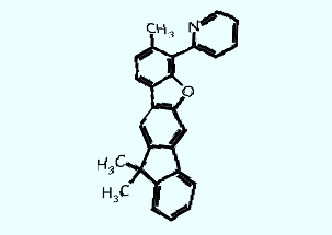 Cc1ccc2c(oc3cc4c(cc32)C(C)(C)c2ccccc2-4)c1-c1ccccn1